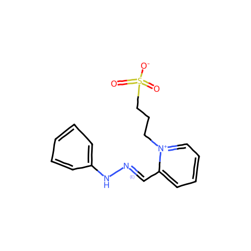 O=S(=O)([O-])CCC[n+]1ccccc1/C=N/Nc1ccccc1